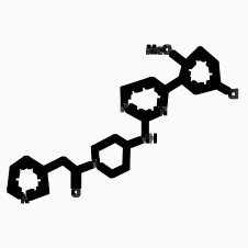 COc1ccc(Cl)cc1-c1ccnc(NC2CCN(C(=O)Cc3cccnc3)CC2)n1